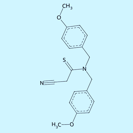 COc1ccc(CN(Cc2ccc(OC)cc2)C(=S)CC#N)cc1